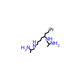 CC(C)CCC(CCCCNCC(C)N)NCC(C)N